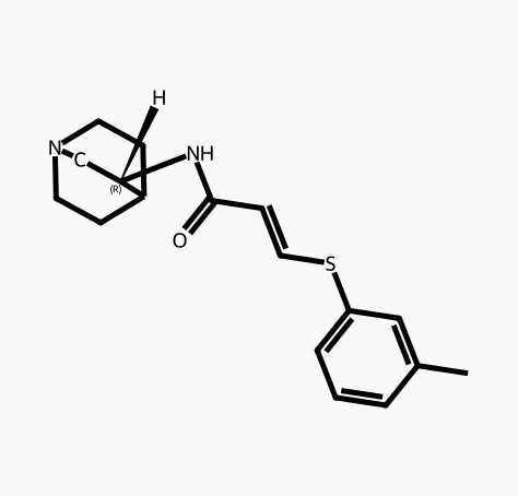 Cc1cccc(SC=CC(=O)N[C@H]2CN3CCC2CC3)c1